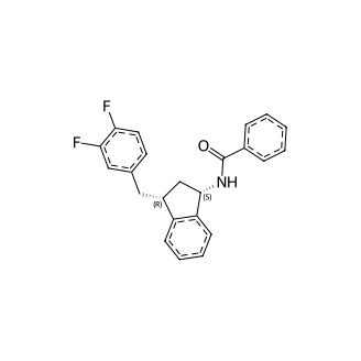 O=C(N[C@H]1C[C@@H](Cc2ccc(F)c(F)c2)c2ccccc21)c1ccccc1